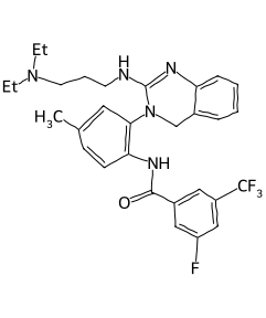 CCN(CC)CCCNC1=Nc2ccccc2CN1c1cc(C)ccc1NC(=O)c1cc(F)cc(C(F)(F)F)c1